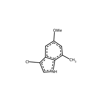 COc1cc(C)c2[nH]cc(Cl)c2c1